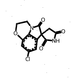 O=C1CC2(C(=O)N1)C(=O)N1CCOc3cc(Cl)cc2c31